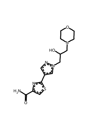 NC(=O)c1csc(-c2cnn(CC(O)CN3CCOCC3)c2)n1